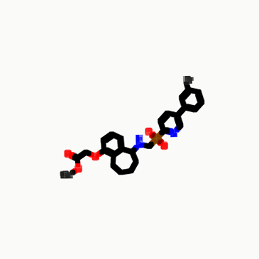 CC(C)c1cccc(-c2ccc(S(=O)(=O)CNC3CCCCc4c(OCC(=O)OC(C)(C)C)cccc43)nc2)c1